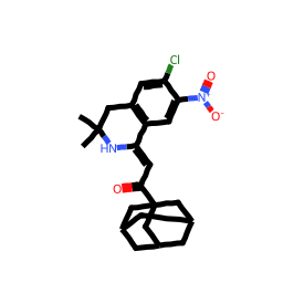 CC1(C)Cc2cc(Cl)c([N+](=O)[O-])cc2/C(=C/C(=O)C23CC4CC(CC(C4)C2)C3)N1